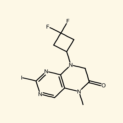 CN1C(=O)CN(C2CC(F)(F)C2)c2nc(I)ncc21